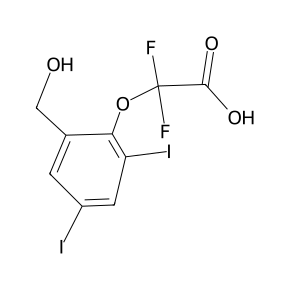 O=C(O)C(F)(F)Oc1c(I)cc(I)cc1CO